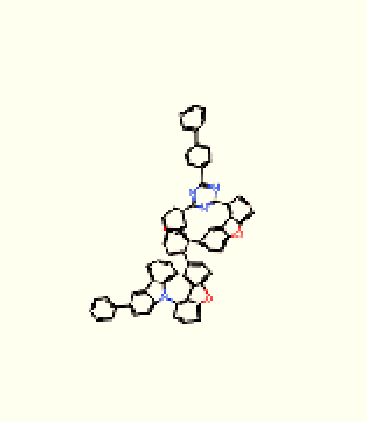 C1=CCC(c2nc(-c3ccc(-c4ccccc4)cc3)nc(-c3cccc4oc5ccc(-c6ccccc6-c6ccc7oc8cccc(-n9c%10ccccc%10c%10cc(-c%11ccccc%11)ccc%109)c8c7c6)cc5c34)n2)C=C1